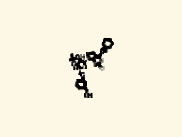 CC1(C)O[C@@H]2[C@H](O1)[C@@H](COc1cccc(CO)c1)O[C@H]2n1ncc2c(N3CC4(CCCCC4)C3)nc(Cl)nc21